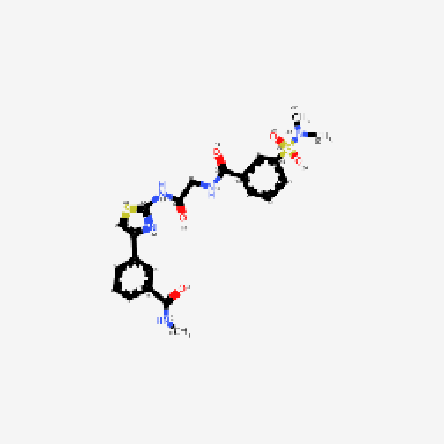 CNC(=O)c1cccc(-c2csc(NC(=O)CNC(=O)c3cccc(S(=O)(=O)N(C)C)c3)n2)c1